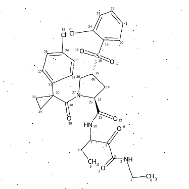 CCNC(=O)C(=O)C(CC)NC(=O)[C@@H]1C[C@@H](S(=O)(=O)c2ccccc2Cl)CN1C(=O)C1(c2ccc(Cl)cc2)CC1